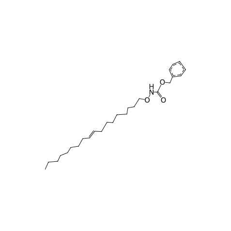 CCCCCCCCC=CCCCCCCCCONC(=O)OCc1ccccc1